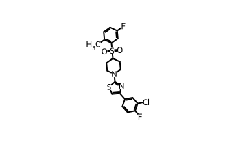 Cc1ccc(F)cc1S(=O)(=O)C1CCN(c2nc(-c3ccc(F)c(Cl)c3)cs2)CC1